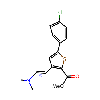 COC(=O)c1sc(-c2ccc(Cl)cc2)cc1/C=C/N(C)C